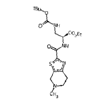 CCOC(=O)[C@H](CNC(=O)OC(C)(C)C)NC(=O)c1nc2c(s1)CN(C)CC2